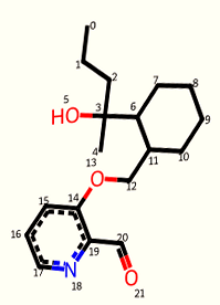 CCCC(C)(O)C1CCCCC1COc1cccnc1C=O